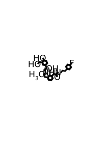 C[C@H](Cc1cccc(CC(=O)NCCCc2ccc(F)cc2)c1)NC[C@H](O)c1ccc(O)c(CO)c1